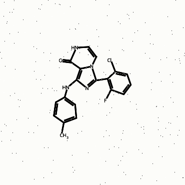 Cc1ccc(Nc2nc(-c3c(F)cccc3Cl)n3cc[nH]c(=O)c23)cc1